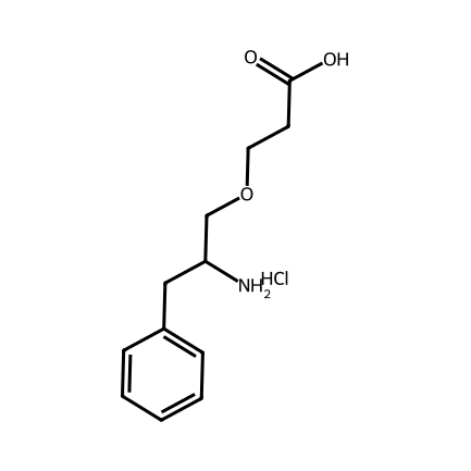 Cl.NC(COCCC(=O)O)Cc1ccccc1